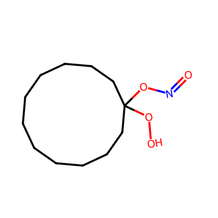 O=NOC1(OO)CCCCCCCCCCC1